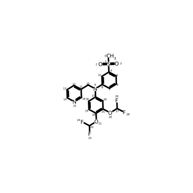 CS(=O)(=O)c1cccc(N(Cc2cccnc2)c2ccc(OC(F)F)c(OC(F)F)c2)c1